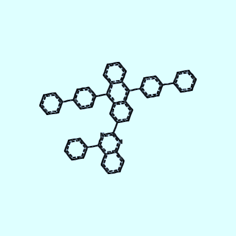 c1ccc(-c2ccc(-c3c4ccccc4c(-c4ccc(-c5ccccc5)cc4)c4cc(-c5nc(-c6ccccc6)c6ccccc6n5)ccc34)cc2)cc1